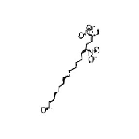 CC/C(=C/C/C(=C/C/C=C/C/C=C/CCCCCC[C]=O)[N+](=O)[O-])[N+](=O)[O-]